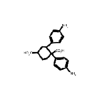 Nc1ccc(C2CC(C(=O)O)CCC2(C(=O)O)c2ccc(N)cc2)cc1